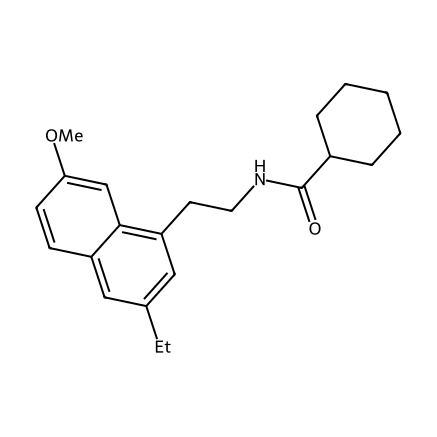 CCc1cc(CCNC(=O)C2CCCCC2)c2cc(OC)ccc2c1